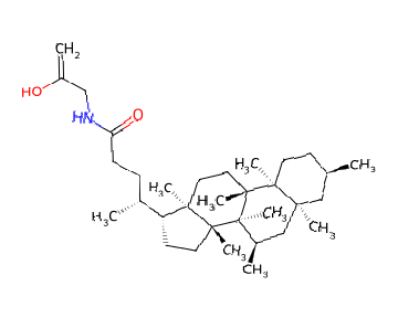 C=C(O)CNC(=O)CC[C@@H](C)[C@H]1CC[C@@]2(C)[C@]3(C)[C@H](C)C[C@]4(C)C[C@H](C)CC[C@]4(C)[C@@]3(C)CC[C@]12C